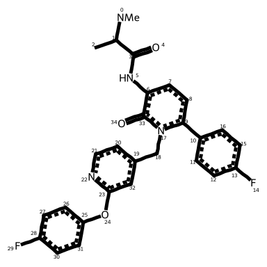 CNC(C)C(=O)Nc1ccc(-c2ccc(F)cc2)n(Cc2ccnc(Oc3ccc(F)cc3)c2)c1=O